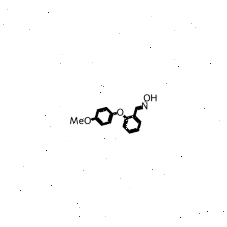 COc1ccc(Oc2ccccc2C=NO)cc1